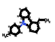 C=Cc1cccc2c1c1ccccc1n2-c1ccc(C)cc1